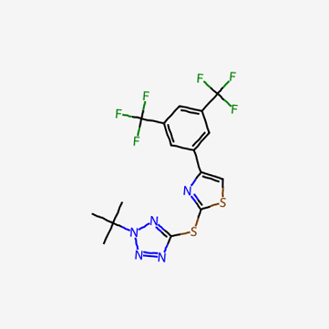 CC(C)(C)n1nnc(Sc2nc(-c3cc(C(F)(F)F)cc(C(F)(F)F)c3)cs2)n1